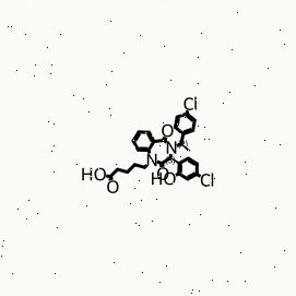 C[C@H](c1ccc(Cl)cc1)N1C(=O)c2ccccc2N(CCCCC(=O)O)C(=O)[C@@H]1c1ccc(Cl)cc1O